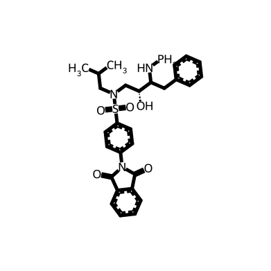 CC(C)CN(C[C@@H](O)C(Cc1ccccc1)NP)S(=O)(=O)c1ccc(N2C(=O)c3ccccc3C2=O)cc1